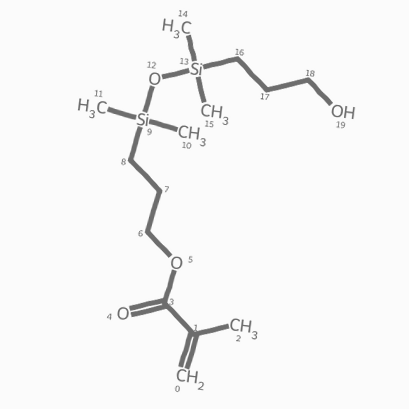 C=C(C)C(=O)OCCC[Si](C)(C)O[Si](C)(C)CCCO